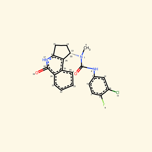 CN(C(=O)Nc1ccc(F)c(Cl)c1)[C@H]1CCc2[nH]c(=O)c3ccccc3c21